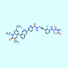 CCc1cc(-c2cccc3cc(-c4ccc(C(=O)NCC#Cc5cccc(NC6CCC(=O)NC6=O)c5F)nc4)ncc23)c2cc(C)c(=O)n(C)c2c1